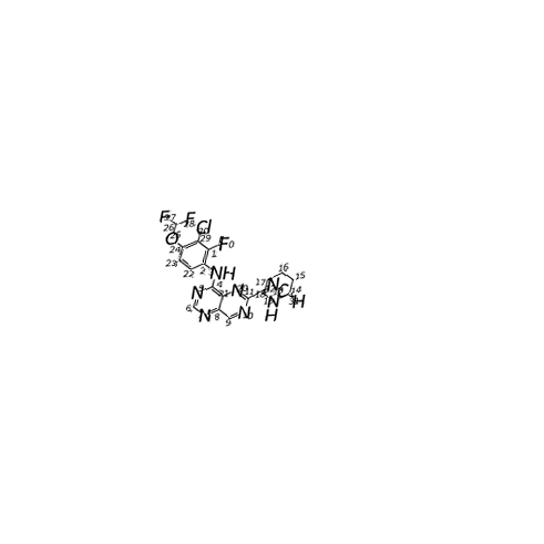 Fc1c(Nc2ncnc3cnc(N4C[C@@H]5CCC4CN5)nc23)ccc(OC(F)F)c1Cl